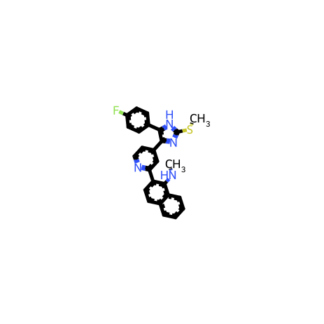 CNc1c(-c2cc(-c3nc(SC)[nH]c3-c3ccc(F)cc3)ccn2)ccc2ccccc12